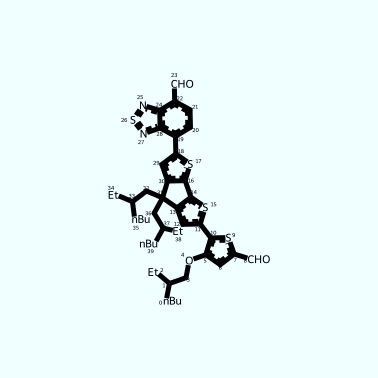 CCCCC(CC)COc1cc(C=O)sc1-c1cc2c(s1)-c1sc(-c3ccc(C=O)c4nsnc34)cc1C2(CC(CC)CCCC)CC(CC)CCCC